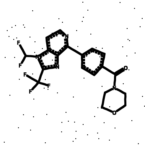 O=C(c1ccc(-c2nccc3c2nc(C(F)(F)F)n3C(F)F)cc1)N1CCOCC1